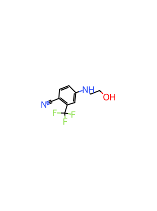 N#Cc1ccc(NCCO)cc1C(F)(F)F